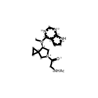 CC(=O)NCC(=O)N1C[C@H](N(C)c2ncnc3[nH]ccc23)C2(CC2)C1